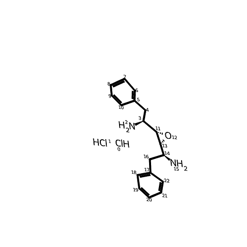 Cl.Cl.N[C@@H](Cc1ccccc1)[C@@H]1O[C@@H]1[C@@H](N)Cc1ccccc1